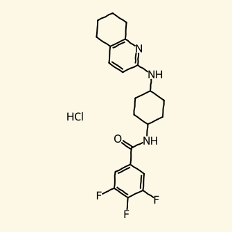 Cl.O=C(NC1CCC(Nc2ccc3c(n2)CCCC3)CC1)c1cc(F)c(F)c(F)c1